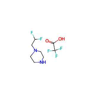 FC(F)CN1CCNCC1.O=C(O)C(F)(F)F